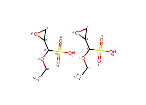 CCOC(C1CO1)S(=O)(=O)O.CCOC(C1CO1)S(=O)(=O)O